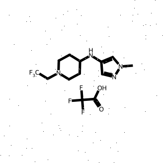 Cn1cc(NC2CCN(CC(F)(F)F)CC2)cn1.O=C(O)C(F)(F)F